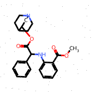 COC(=O)c1ccccc1NC(C(=O)OC1CN2CCC1CC2)c1ccccc1